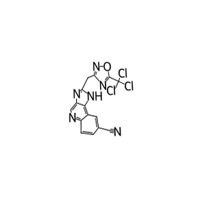 N#Cc1ccc2ncc3nc(Cc4noc(C(Cl)(Cl)Cl)n4)[nH]c3c2c1